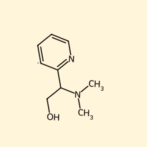 CN(C)C(CO)c1[c]cccn1